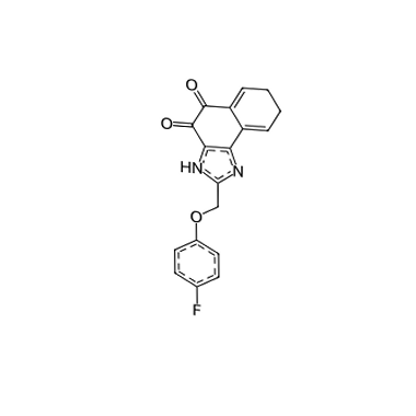 O=C1C(=O)c2[nH]c(COc3ccc(F)cc3)nc2C2=CCCC=C12